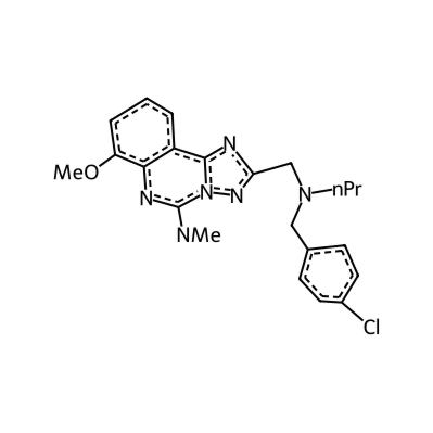 CCCN(Cc1ccc(Cl)cc1)Cc1nc2c3cccc(OC)c3nc(NC)n2n1